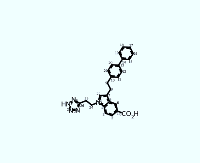 O=C(O)c1ccc2c(c1)c(CCc1ccc(-c3ccccc3)cc1)cn2CCc1nn[nH]n1